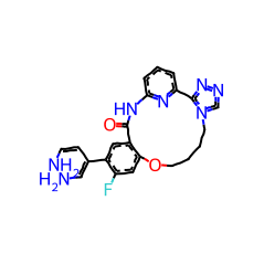 N/C=C\C(=C/N)c1cc2c(cc1F)OCCCCn1cnnc1-c1cccc(n1)NC2=O